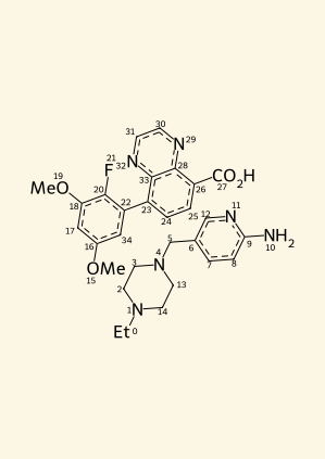 CCN1CCN(Cc2ccc(N)nc2)CC1.COc1cc(OC)c(F)c(-c2ccc(C(=O)O)c3nccnc23)c1